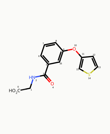 O=C(O)CNC(=O)c1cccc(Oc2ccsc2)c1